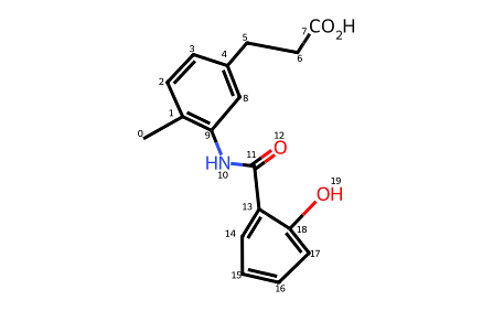 Cc1ccc(CCC(=O)O)cc1NC(=O)c1ccccc1O